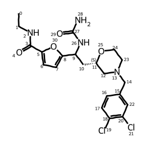 CCNC(=O)c1ccc(C(C[C@H]2CN(Cc3ccc(Cl)c(Cl)c3)CCO2)NC(N)=O)o1